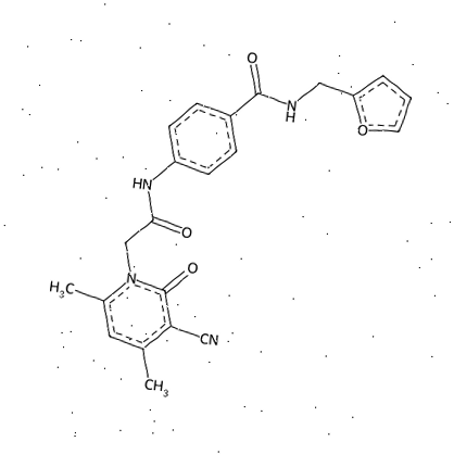 Cc1cc(C)n(CC(=O)Nc2ccc(C(=O)NCc3ccco3)cc2)c(=O)c1C#N